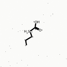 CCC[SiH2]C(=O)O